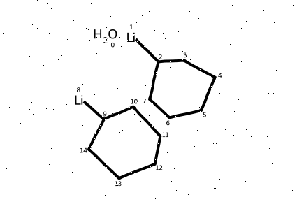 O.[Li][CH]1CCCCC1.[Li][CH]1CCCCC1